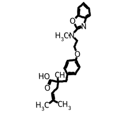 CC(C)=CCC(C)(Cc1ccc(OCCN(C)c2nc3ccccc3o2)cc1)C(=O)O